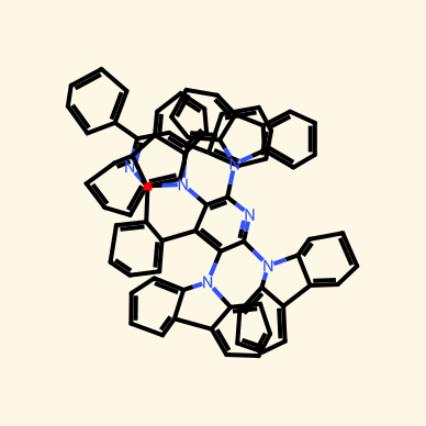 c1ccc(-c2cc(-c3ccccc3)nc(-c3ccccc3-c3c(-n4c5ccccc5c5ccccc54)c(-n4c5ccccc5c5ccccc54)nc(-n4c5ccccc5c5ccccc54)c3-n3c4ccccc4c4ccccc43)c2)cc1